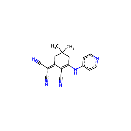 CC1(C)CC(Nc2ccncc2)=C(C#N)C(=C(C#N)C#N)C1